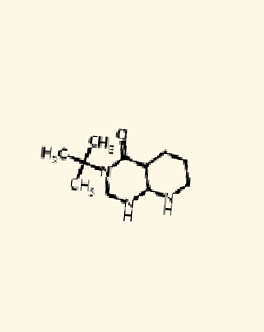 CC(C)(C)N1CNC2NCCCC2C1=O